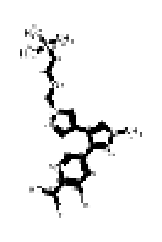 Cn1cc(-c2cnn(COCC[Si](C)(C)C)c2)c(-c2cnc(C(F)F)c(F)c2)n1